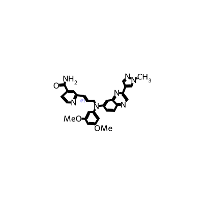 COc1cc(OC)cc(N(C/C=C/c2cc(C(N)=O)ccn2)c2ccc3ncc(-c4cnn(C)c4)nc3c2)c1